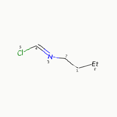 CCCC/N=C/Cl